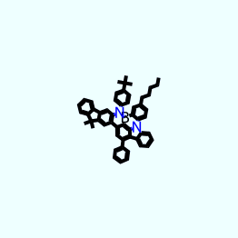 CCCCCc1ccc2c(c1)B1c3c(cc(-c4ccccc4)c4c5ccccc5n-2c34)-c2cc3c(cc2N1c1ccc(C(C)(C)C)cc1)-c1ccccc1C3(C)C